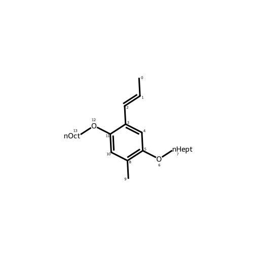 C/C=C/c1cc(OCCCCCCC)c(C)cc1OCCCCCCCC